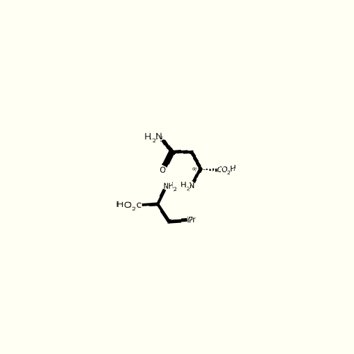 CC(C)CC(N)C(=O)O.NC(=O)C[C@@H](N)C(=O)O